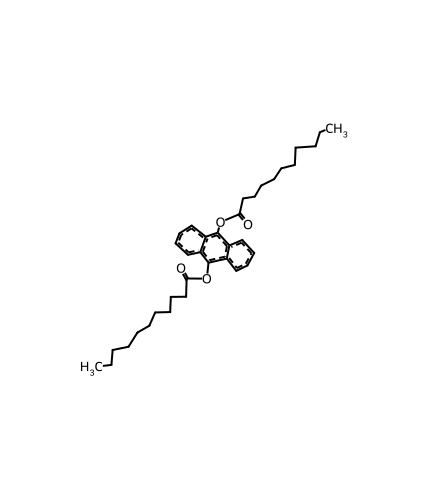 CCCCCCCCCCC(=O)Oc1c2ccccc2c(OC(=O)CCCCCCCCCC)c2ccccc12